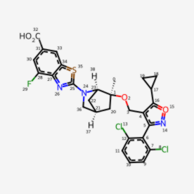 C[C@]1(OCc2c(-c3c(Cl)cccc3Cl)noc2C2CC2)C[C@@H]2C[C@H]1N(c1nc3c(F)cc(C(=O)O)cc3s1)C2